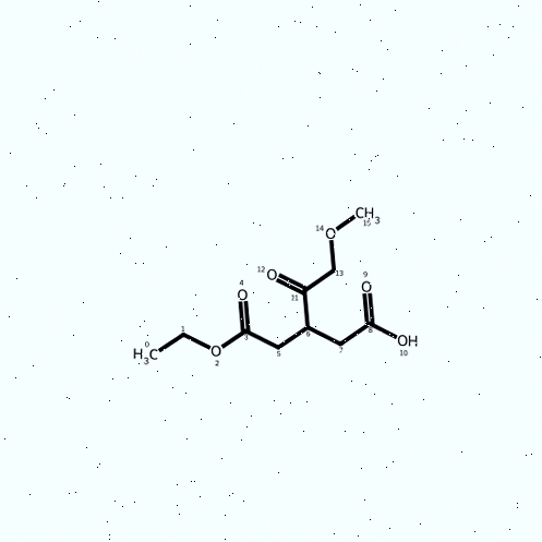 CCOC(=O)CC(CC(=O)O)C(=O)COC